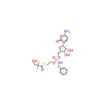 CC(C)(CO)C(=O)SCCOP(=O)(NCc1ccccc1)OC[C@H]1O[C@@H](n2ccc(N)nc2=O)[C@@](C)(O)C1O